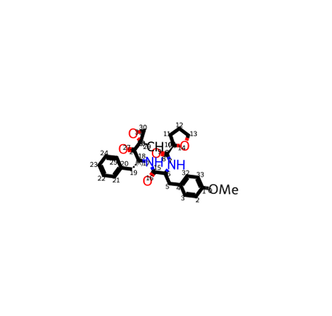 COc1ccc(CC(NC(=O)[C@H]2CCCO2)C(=O)N[C@H](Cc2ccccc2)C(=O)[C@]2(C)CO2)cc1